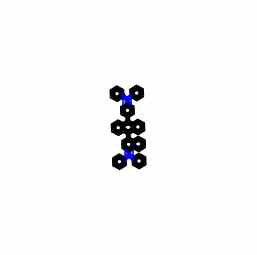 c1ccc(N(c2ccccc2)c2ccc(-c3c4ccccc4c(-c4ccc(N(c5ccccc5)c5ccccc5)c5ccccc45)c4ccccc34)cc2)cc1